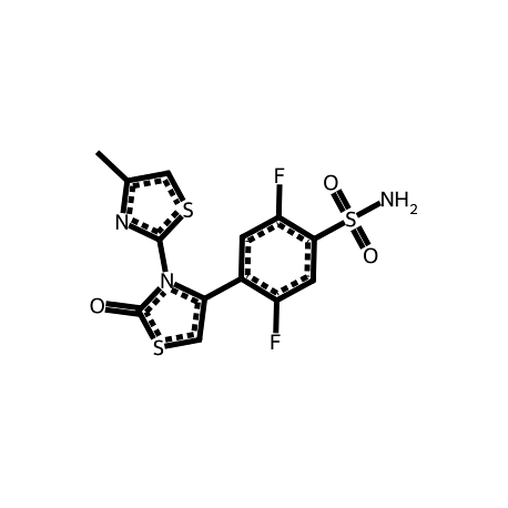 Cc1csc(-n2c(-c3cc(F)c(S(N)(=O)=O)cc3F)csc2=O)n1